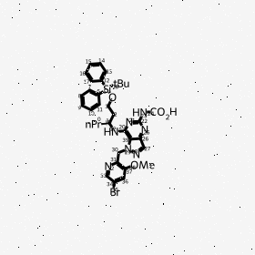 CCC[C@@H](CCO[Si](c1ccccc1)(c1ccccc1)C(C)(C)C)Nc1nc(NC(=O)O)nc2cnn(Cc3ncc(Br)cc3OC)c12